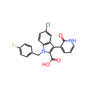 O=C(O)c1c(-c2ccc[nH]c2=O)c2cc(Cl)ccc2n1Cc1ccc(F)cc1